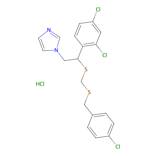 Cl.Clc1ccc(CSCSC(Cn2ccnc2)c2ccc(Cl)cc2Cl)cc1